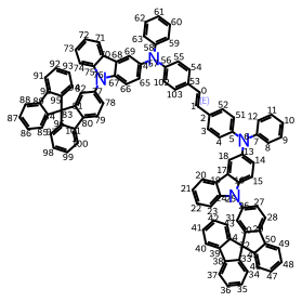 C(=C\c1ccc(N(c2ccccc2)c2ccc3c(c2)c2ccccc2n3-c2ccc3c(c2)C2(c4ccccc4-c4ccccc42)c2ccccc2-3)cc1)/c1ccc(N(c2ccccc2)c2ccc3c(c2)c2ccccc2n3-c2ccc3c(c2)C2(c4ccccc4-c4ccccc42)c2ccccc2-3)cc1